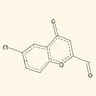 O=[C]c1cc(=O)c2cc(Cl)ccc2o1